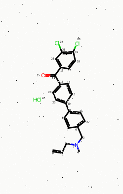 C=CCN(C)Cc1ccc(-c2ccc(C(=O)c3ccc(Cl)c(Cl)c3)cc2)cc1.Cl